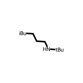 CCC(C)CCCNC(C)(C)C